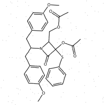 COc1ccc(CC(Cc2ccc(OC)cc2)N2C(=O)C(OC(C)=O)(Sc3ccccc3)C2COC(C)=O)cc1